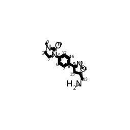 CN1CCN(c2ccc(C3=NOC(CN)C3)cc2)C1=O